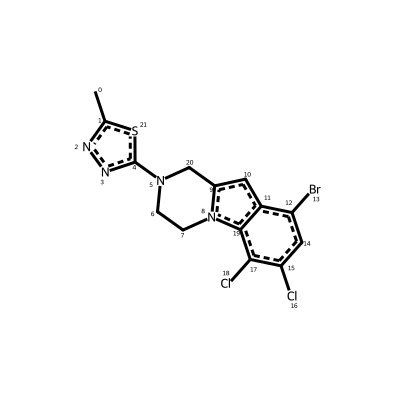 Cc1nnc(N2CCn3c(cc4c(Br)cc(Cl)c(Cl)c43)C2)s1